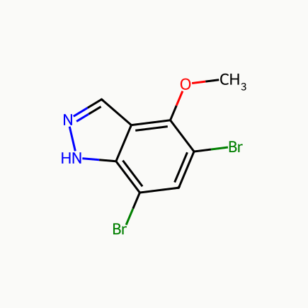 COc1c(Br)cc(Br)c2[nH]ncc12